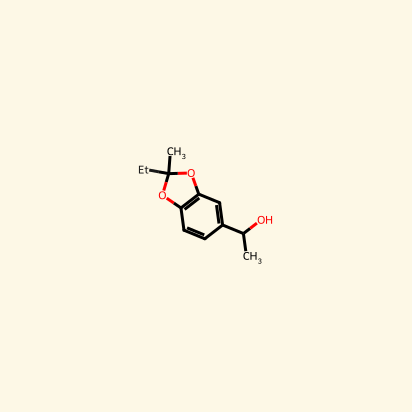 CCC1(C)Oc2ccc(C(C)O)cc2O1